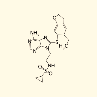 CCc1cc2c(cc1Sc1nc3c(N)ncnc3n1CCNS(=O)(=O)C1CC1)OCC2